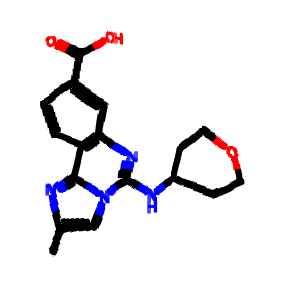 Cc1cn2c(NC3CCOCC3)nc3cc(C(=O)O)ccc3c2n1